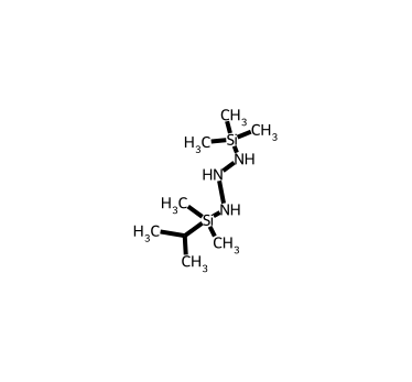 CC(C)[Si](C)(C)NNN[Si](C)(C)C